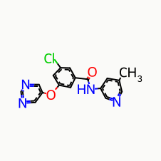 Cc1cncc(NC(=O)c2cc(Cl)cc(Oc3cncnc3)c2)c1